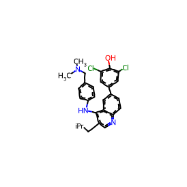 CC(C)Cc1cnc2ccc(-c3cc(Cl)c(O)c(Cl)c3)cc2c1Nc1ccc(CN(C)C)cc1